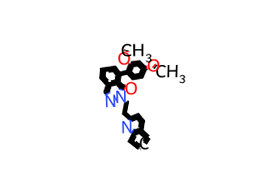 COc1ccc(-c2cccc3cnn(CCc4ccc5ccccc5n4)c(=O)c23)c(OC)c1